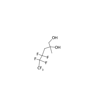 CC(O)(CO)CC(F)(F)C(F)(F)C(F)(F)F